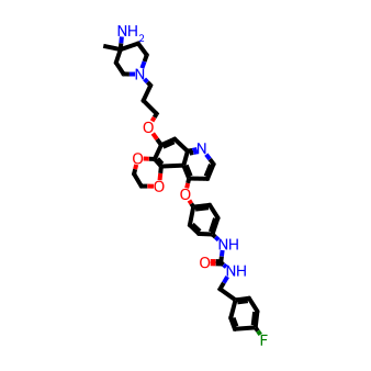 CC1(N)CCN(CCCOc2cc3nccc(Oc4ccc(NC(=O)NCc5ccc(F)cc5)cc4)c3c3c2OCCO3)CC1